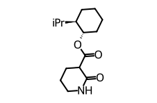 CC(C)[C@H]1CCCC[C@@H]1OC(=O)C1CCCNC1=O